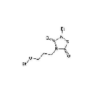 CCOCCCn1c(=O)sn(CC)c1=O